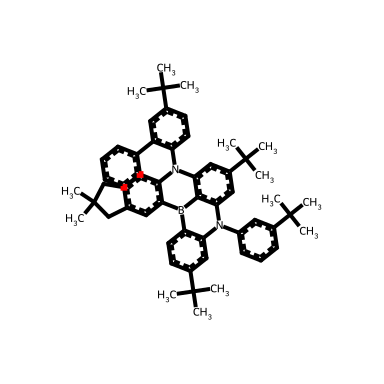 CC1(C)Cc2cc3c(cc2C1)N(c1ccc(C(C)(C)C)cc1-c1ccccc1)c1cc(C(C)(C)C)cc2c1B3c1ccc(C(C)(C)C)cc1N2c1cccc(C(C)(C)C)c1